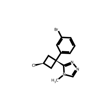 Cn1cnnc1[C@]1(c2cccc(Br)c2)C[C@H](Cl)C1